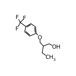 CCC(CO)COc1ccc(C(F)(F)F)cc1